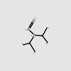 CC(C)N(N=O)C(C)C